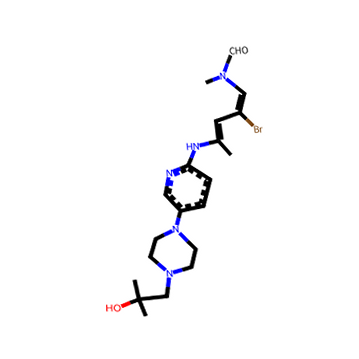 C/C(=C\C(Br)=C/N(C)C=O)Nc1ccc(N2CCN(CC(C)(C)O)CC2)cn1